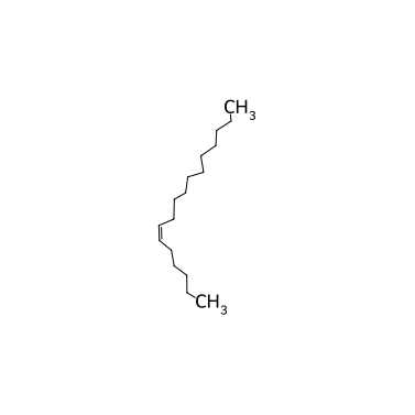 CCCCC/C=C\CCCCCCCCCC